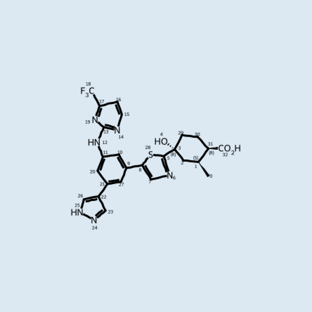 C[C@H]1C[C@@](O)(c2ncc(-c3cc(Nc4nccc(C(F)(F)F)n4)cc(-c4cn[nH]c4)c3)s2)CC[C@H]1C(=O)O